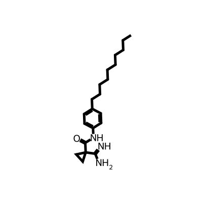 CCCCCCCCCCc1ccc(NC(=O)C2(C(=N)N)CC2)cc1